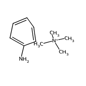 C[N+](C)(C)C.Nc1ccccc1